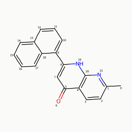 Cc1ccc2c(=O)cc(-c3cccc4ccccc34)[nH]c2n1